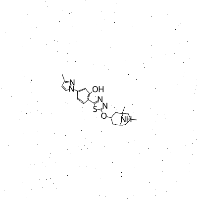 Cc1ccn(-c2ccc(-c3nnc(OC4CC5CC(C)CC(C)(C4)N5)s3)c(O)c2)n1